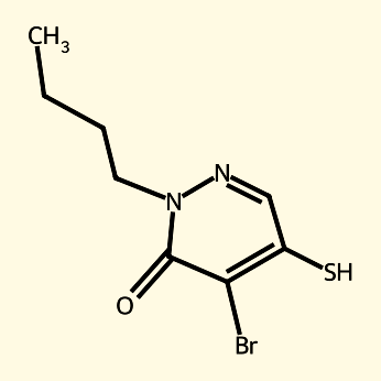 CCCCn1ncc(S)c(Br)c1=O